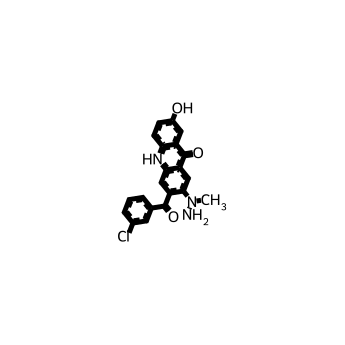 CN(N)c1cc2c(=O)c3cc(O)ccc3[nH]c2cc1C(=O)c1cccc(Cl)c1